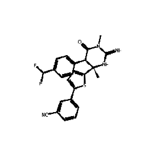 CN1C(=N)N[C@](C)(c2ccc(-c3cccc(C#N)c3)s2)C(c2ccc(C(F)F)cc2)C1=O